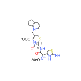 CO/N=C(\C(=O)N[C@@H]1C(=O)N2C(C(=O)[O-])=C(C[n+]3cccc4c3CCC4)CS[C@@H]12)c1csc(=N)[nH]1